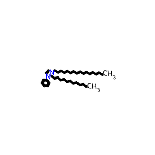 CCCCCCCCCCCCCCCCCN1C=CN(c2ccccc2)C1CCCCCCCCCCCC